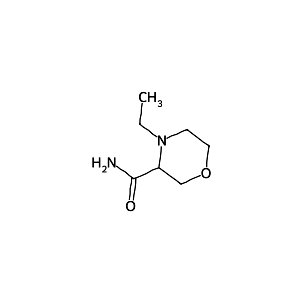 CCN1CCOCC1C(N)=O